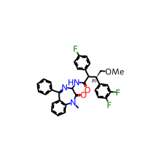 COC[C@@H](c1ccc(F)c(F)c1)C(C(=O)NC1N=C(c2ccccc2)c2ccccc2N(C)C1=O)c1ccc(F)cc1